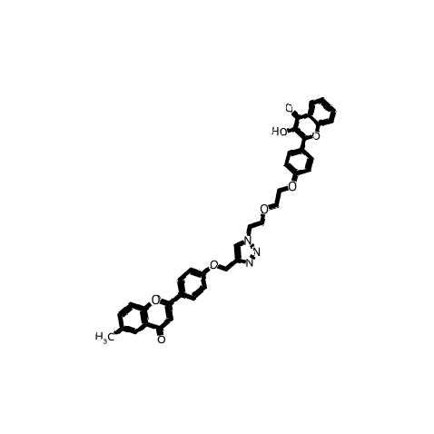 Cc1ccc2oc(-c3ccc(OCc4cn(CCOCCOc5ccc(-c6oc7ccccc7c(=O)c6O)cc5)nn4)cc3)cc(=O)c2c1